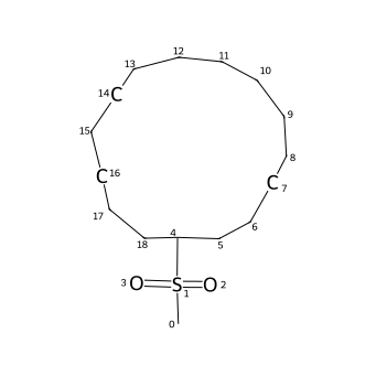 CS(=O)(=O)C1CCCCCCCCCCCCCC1